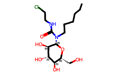 CCCCCCN(C(=O)NCCCl)[C@@H]1O[C@H](CO)[C@@H](O)[C@H](O)[C@H]1O